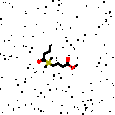 CCCC(=O)S(C)(C)CCCC(=O)OC